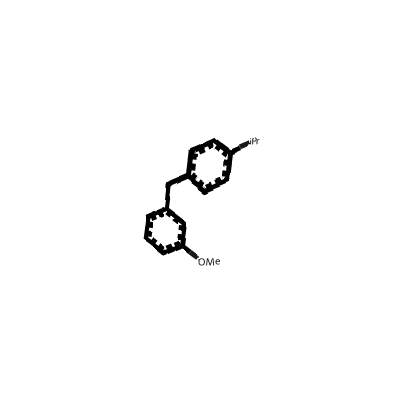 COc1cc[c]c(Cc2ccc(C(C)C)cc2)c1